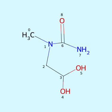 CN(CC(O)O)C(N)=O